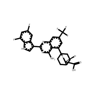 Nc1nc(-c2c[nH]c3c(F)cc(F)cc23)nc2cc(C(F)(F)F)cc(C34CCC(CC3)[C@@H](C(=O)O)C4)c12